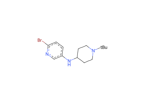 CC(C)(C)N1CCC(Nc2ccc(Br)nc2)CC1